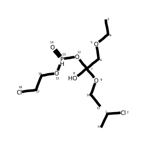 CCCl.CCOCC(O)(OCC)O[PH](=O)OCCCl